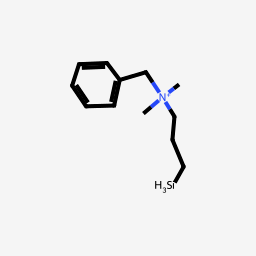 C[N+](C)(CCC[SiH3])Cc1ccccc1